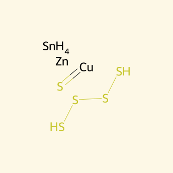 SSSS.[S]=[Cu].[SnH4].[Zn]